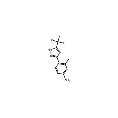 Cc1nc(N)ccc1-c1n[nH]c(C(C)(F)F)n1